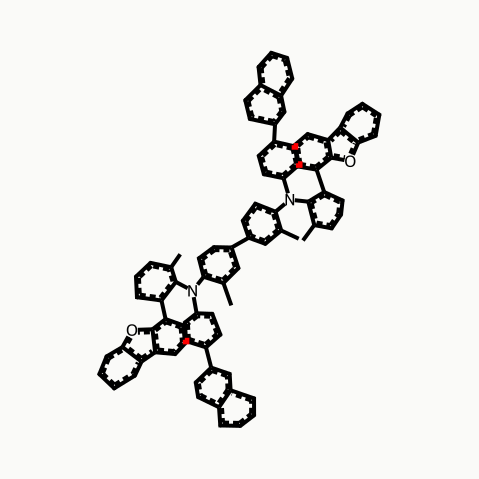 Cc1cc(-c2ccc(N(c3ccc(-c4ccc5ccccc5c4)cc3)c3c(C)cccc3-c3cccc4c3oc3ccccc34)c(C)c2)ccc1N(c1ccc(-c2ccc3ccccc3c2)cc1)c1c(C)cccc1-c1cccc2c1oc1ccccc12